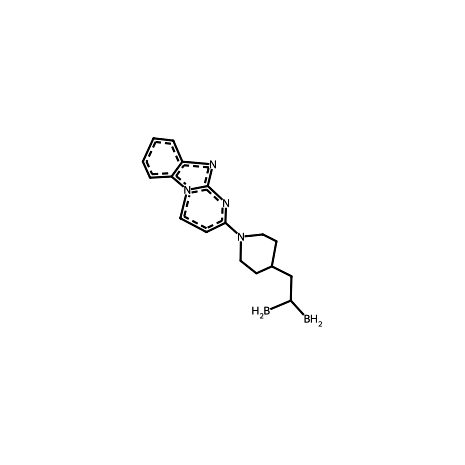 BC(B)CC1CCN(c2ccn3c(n2)nc2ccccc23)CC1